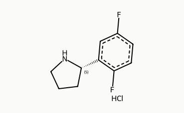 Cl.Fc1ccc(F)c([C@@H]2CCCN2)c1